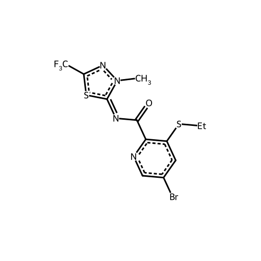 CCSc1cc(Br)cnc1C(=O)N=c1sc(C(F)(F)F)nn1C